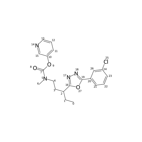 CCC(CCN(C)C(=O)Oc1cccnc1)c1nnc(-c2cccc(Cl)c2)o1